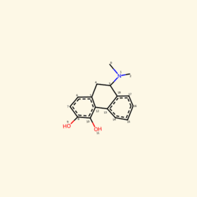 CN(C)C1Cc2ccc(O)c(O)c2-c2ccccc21